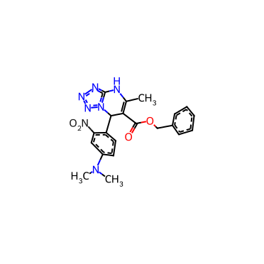 CC1=C(C(=O)OCc2ccccc2)C(c2ccc(N(C)C)cc2[N+](=O)[O-])n2nnnc2N1